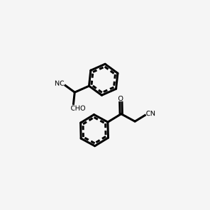 N#CC(C=O)c1ccccc1.N#CCC(=O)c1ccccc1